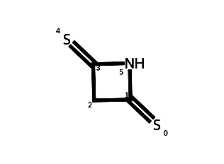 S=C1CC(=S)N1